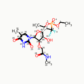 CCOP(=O)(OCC)C(F)(F)C[C@H]1OC(n2cc(C)c(=O)[nH]c2=O)[C@H](OCC(=O)NC)[C@@H]1O